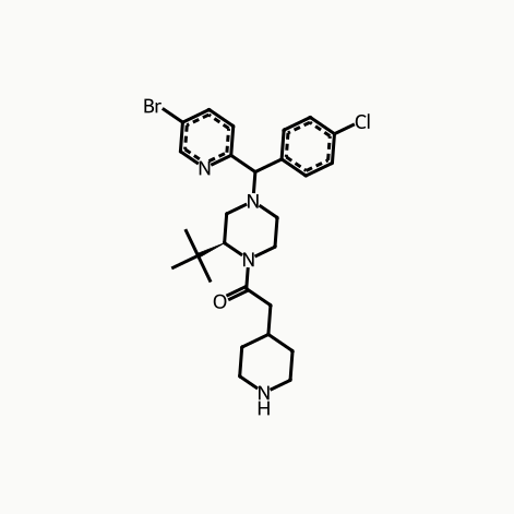 CC(C)(C)[C@H]1CN(C(c2ccc(Cl)cc2)c2ccc(Br)cn2)CCN1C(=O)CC1CCNCC1